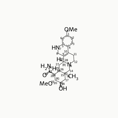 COc1ccc2c(c1)NCC1=C2CCN2C[C@@]3(C)C[C@@H](O)[C@H](OC)[C@@H](C(N)=O)[C@H]3C[C@H]12